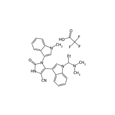 CCC(N(C)C)n1cc(-c2c(C#N)[nH]c(=O)n2-c2cn(C)c3ccccc23)c2ccccc21.O=C(O)C(F)(F)F